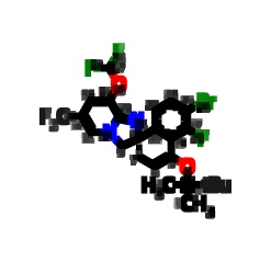 CC(C)(C)[Si](C)(C)OC1=CC[C@@]2(CN3C=C(C(F)(F)F)C=C(OC(F)F)C3=N2)c2ccc(Br)c(F)c21